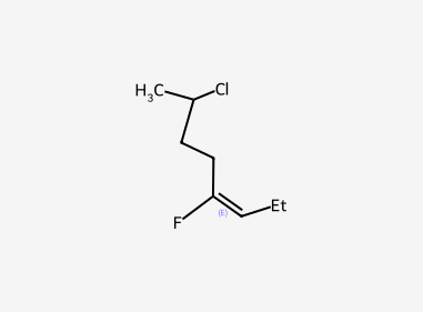 CC/C=C(/F)CCC(C)Cl